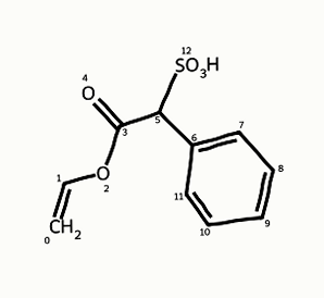 C=COC(=O)C(c1ccccc1)S(=O)(=O)O